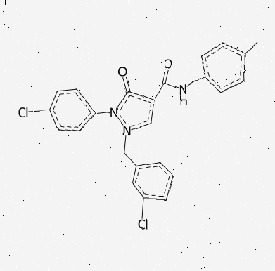 Cc1ccc(NC(=O)c2cn(Cc3cccc(Cl)c3)n(-c3ccc(Cl)cc3)c2=O)cc1